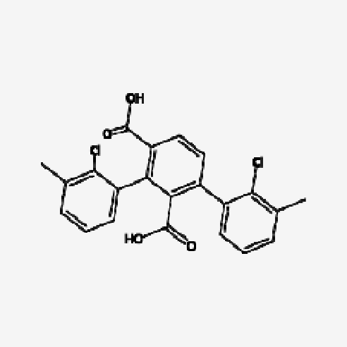 Cc1cccc(-c2ccc(C(=O)O)c(-c3cccc(C)c3Cl)c2C(=O)O)c1Cl